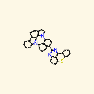 c1ccc(-n2c3ccccc3c3ccc4ccn(-c5ccc(-c6nc7c8c(cccc8n6)Sc6ccccc6-7)cc5)c4c32)cc1